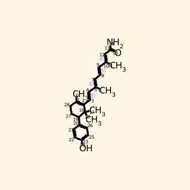 CC1=C(/C=C/C(C)=C/C=C/C(C)=C/C(N)=O)C(C)(C)C(c2ccc(O)cc2)CC1